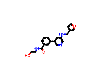 O=C(NCCO)c1cccc(-c2cncc(NCc3ccoc3)c2)c1